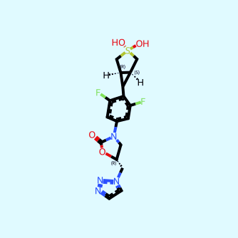 O=C1O[C@@H](Cn2ccnn2)CN1c1cc(F)c(C2[C@H]3CS(O)(O)C[C@@H]23)c(F)c1